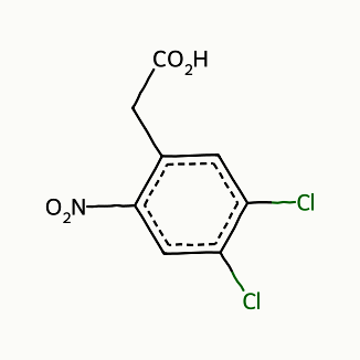 O=C(O)Cc1cc(Cl)c(Cl)cc1[N+](=O)[O-]